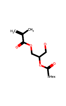 C=C(C)C(=O)OCC(C[O])OC(=O)CCCCCC